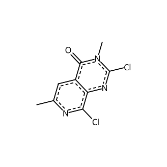 Cc1cc2c(=O)n(C)c(Cl)nc2c(Cl)n1